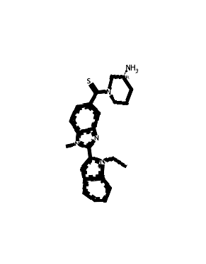 CCn1c(-c2nc3cc(C(=S)N4CCC[C@@H](N)C4)ccc3n2C)cc2ccccc21